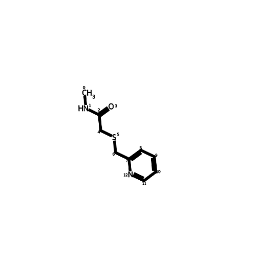 CNC(=O)CSCc1ccccn1